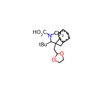 CN(C(=O)O)C(C(C)(C)C)C1(CC2OCCO2)Cc2ccccc21